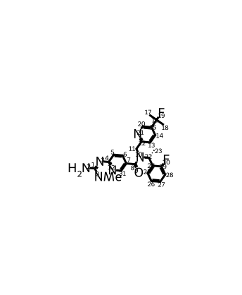 CN/C(N)=N\c1ccc(C(=O)N(Cc2ccc(C(C)(C)F)cn2)[C@H](C)c2ccccc2F)cn1